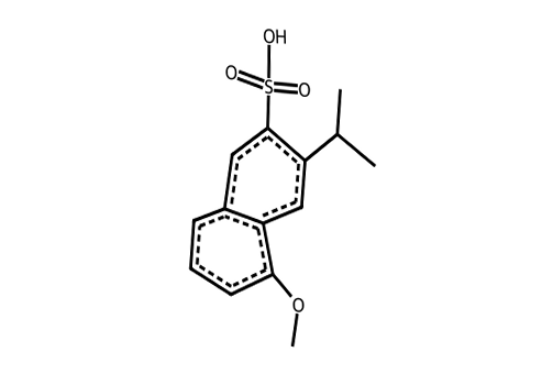 COc1cccc2cc(S(=O)(=O)O)c(C(C)C)cc12